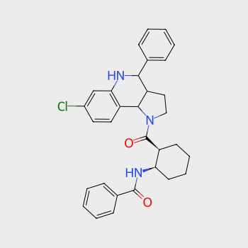 O=C(N[C@@H]1CCCC[C@@H]1C(=O)N1CCC2C(c3ccccc3)Nc3cc(Cl)ccc3C21)c1ccccc1